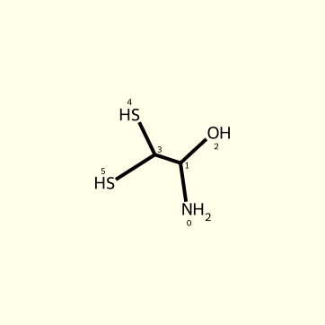 NC(O)C(S)S